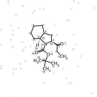 CCC(=O)[C@@H]1CC2CCCC[C@@H]2N1C(=O)OC(C)(C)C